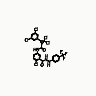 O=C(NNc1ccc(C(F)(F)F)cc1)c1cc(NC(=O)C2C(c3cc(Cl)cc(Cl)c3)C2(Cl)Cl)ccc1Cl